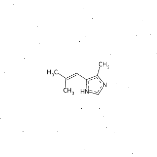 CC(C)=Cc1[nH]cnc1C